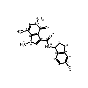 Cc1cn(C)c(=O)c2c(C(=O)NC3CCc4cc(Cl)ccc43)cn(C)c12